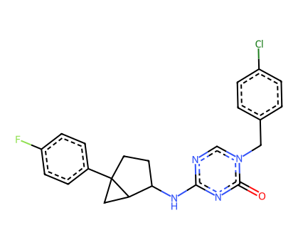 O=c1nc(NC2CCC3(c4ccc(F)cc4)CC23)ncn1Cc1ccc(Cl)cc1